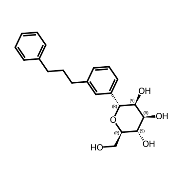 OC[C@H]1O[C@H](c2cccc(CCCc3ccccc3)c2)[C@@H](O)[C@@H](O)[C@@H]1O